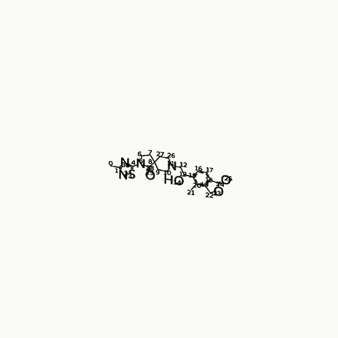 Cc1nsc(N2CCC3(CCN(CC(O)c4ccc5c(c4C)COC5=O)CC3)C2=O)n1